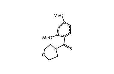 COc1ccc(C(=S)N2CCOCC2)c(OC)c1